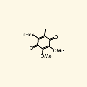 [CH2]CCCCCC1=C(C)C(=O)C(OC)=C(OC)C1=O